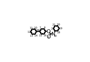 CN(C(=O)Oc1ccc(-c2ccccc2)cc1)c1ccccc1